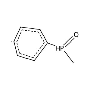 C[PH](=O)c1cc[c]cc1